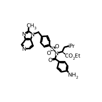 CCOC(=O)[C@H](CC(C)C)N(C(=O)c1ccc(N)cc1)S(=O)(=O)c1ccc(Cn2c(C)nc3cnccc32)cc1